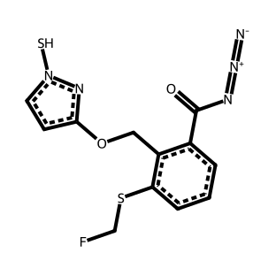 [N-]=[N+]=NC(=O)c1cccc(SCF)c1COc1ccn(S)n1